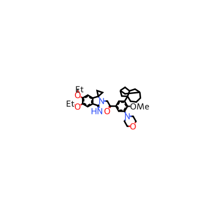 CCOc1cc2c(cc1OCC)C1(CC1)N(CC(=O)c1cc(N3CCOCC3)c(OC)c(C34CCCC5CC(CC3C5)C4)c1)C2=N